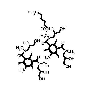 CN(CC(O)CO)C(=O)c1c(I)c(N)c(I)c(C(=O)N(C)CC(O)CO)c1I.CN(CC(O)CO)C(=O)c1c(I)c(N)c(I)c(C(=O)N(C)CC(O)CO)c1I.O=C(O)CCCCC(=O)O